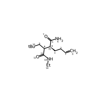 C=CCC[C@H](C(N)=O)C(CC(C)(C)C)C(=O)NCC